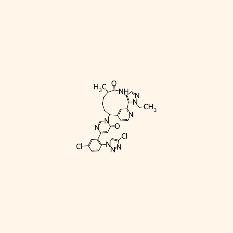 CCn1ncc2c1-c1cc(ccn1)[C@@H](n1cnc(-c3cc(Cl)ccc3-n3cc(Cl)nn3)cc1=O)CCC[C@@H](C)C(=O)N2